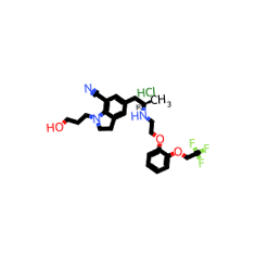 C[C@H](Cc1cc(C#N)c2c(c1)CCN2CCCO)NCCOc1ccccc1OCC(F)(F)F.Cl